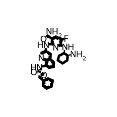 NC(=O)c1cc(F)c(N[C@@H]2CCCC[C@@H]2N)nc1Nc1cnc2c(NS(=O)(=O)Cc3ccccc3)cccc2c1